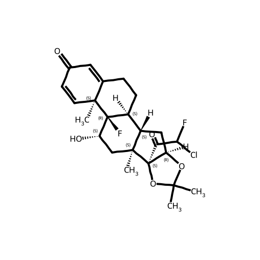 CC1(C)O[C@@H]2C[C@H]3[C@@H]4CCC5=CC(=O)C=C[C@]5(C)[C@@]4(F)[C@@H](O)C[C@]3(C)[C@]2(C(=O)C(F)Cl)O1